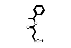 CCCCCCCCCCC(=O)OC(C)c1ccccc1